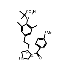 CSc1ccc(C(=O)[C@@H]2CNC[C@H]2CCc2cc(C)c(OC(C)(C)C(=O)O)c(C)c2)cc1